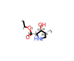 CCOC(=O)[C@H]1NC[C@@H](C)[C@@H]1O